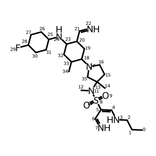 CCCN/C=C(\C=N)S(=O)(=O)N(C)C1(C)CCN(C2CC(C=N)C(NC3CCC(F)CC3)CC2C)C1